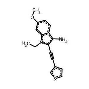 CCn1c(C#Cc2ccsc2)c(N)c2ccc(OC)cc21